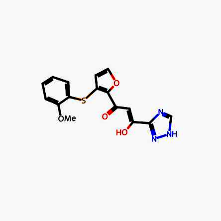 COc1ccccc1Sc1ccoc1C(=O)C=C(O)c1nc[nH]n1